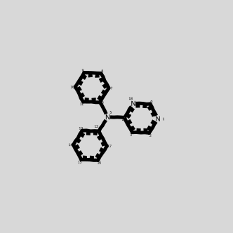 [c]1nccc(N(c2ccccc2)c2ccccc2)n1